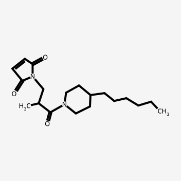 CCCCCCC1CCN(C(=O)C(C)CN2C(=O)C=CC2=O)CC1